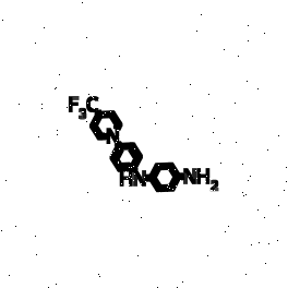 NC1CCC(Nc2ccc(N3CCC(C(F)(F)F)CC3)cc2)CC1